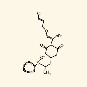 CCCC(=NOCC=CCl)[C@H]1C(=O)C[C@H](CC(C)[S+]([O-])c2ccccc2)CC1=O